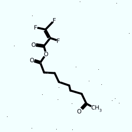 CC(=O)CCCCCCC(=O)OC(=O)C(F)=C(F)F